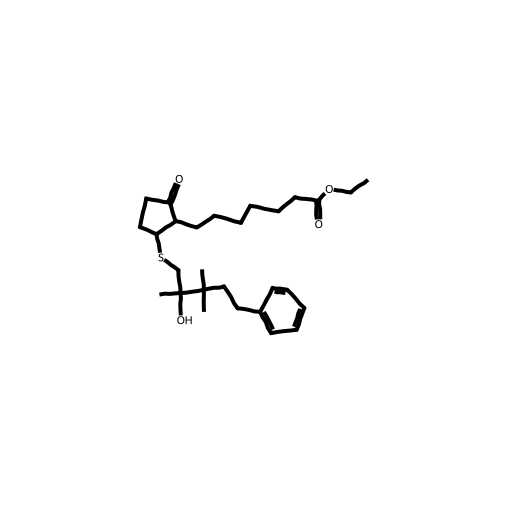 CCOC(=O)CCCCCCC1C(=O)CCC1SCC(C)(O)C(C)(C)CCc1ccccc1